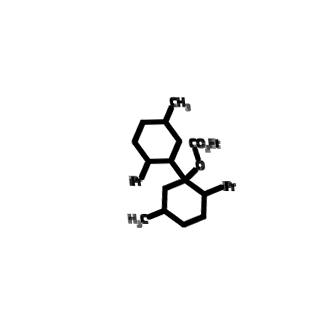 CCOC(=O)OC1(C2CC(C)CCC2C(C)C)CC(C)CCC1C(C)C